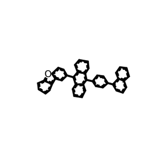 c1ccc2c(-c3ccc(-c4c5ccccc5c(-c5ccc6oc7ccccc7c6c5)c5ccccc45)cc3)cccc2c1